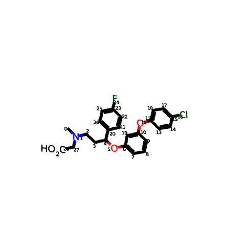 CN(CCC(Oc1cccc(Oc2ccc(Cl)cc2)c1)c1ccc(F)cc1)CC(=O)O